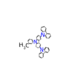 Cc1cccc(-n2c3c(c4cc(-n5c6ccccc6c6ccccc65)ccc42)C=C(n2c4ccccc4c4ccccc42)CC3)c1